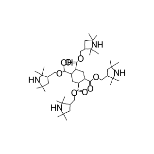 CC1(C)CC(COC(=O)C2CC(C(=O)OCC3CC(C)(C)NC3(C)C)C(C(O)OCC3CC(C)(C)NC3(C)C)CC2C(=O)OCC2CC(C)(C)NC2(C)C)C(C)(C)N1